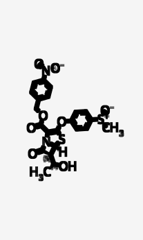 C[C@@H](O)[C@H]1C(=O)N2C(C(=O)OCc3ccc([N+](=O)[O-])cc3)=C(Oc3ccc([S+](C)[O-])cc3)S[C@H]12